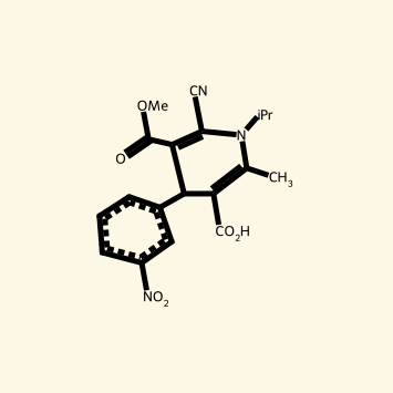 COC(=O)C1=C(C#N)N(C(C)C)C(C)=C(C(=O)O)C1c1cccc([N+](=O)[O-])c1